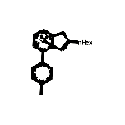 CCCCCCC1=C2c3c(ccc(c3-c3ccc(C)cc3)[Si]2(C)C)[CH]1